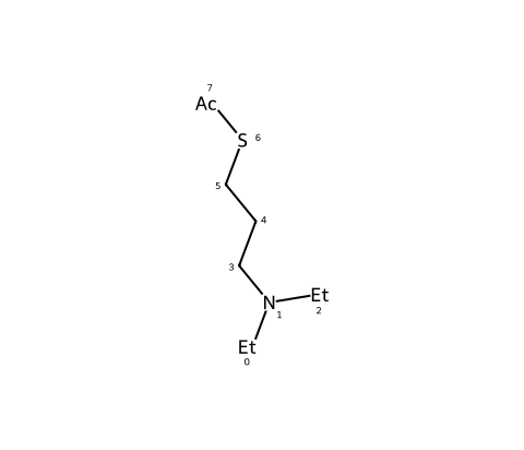 CCN(CC)CCCSC(C)=O